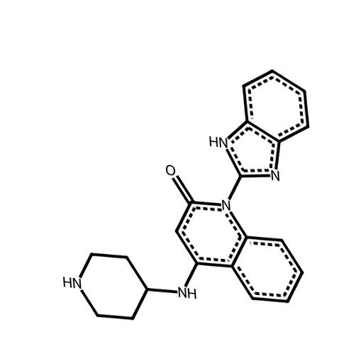 O=c1cc(NC2CCNCC2)c2ccccc2n1-c1nc2ccccc2[nH]1